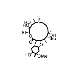 CC[C@H]1OC(=O)[C@H](C)[C@@H](O[C@@H]2C[C@@H](C)[C@H](O)[C@](C)(OC)C2)[C@H](C)[C@@H](C(C)(C)C)[C@](C)(O)C[C@@H](C)CN(C)[C@H](C)[C@@H](O)[C@]1(C)O